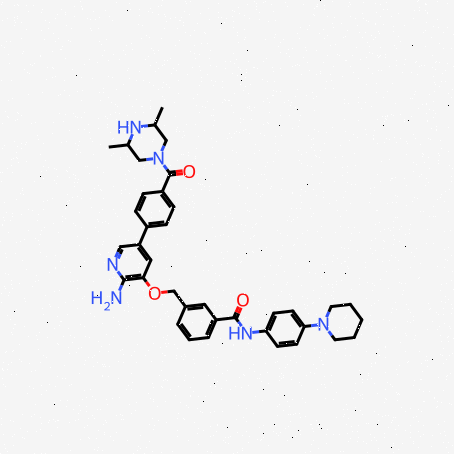 CC1CN(C(=O)c2ccc(-c3cnc(N)c(OCc4cccc(C(=O)Nc5ccc(N6CCCCC6)cc5)c4)c3)cc2)CC(C)N1